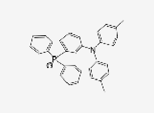 Cc1ccc(N(c2ccc(C)cc2)c2cccc(P(=O)(c3ccccc3)c3ccccc3)c2)cc1